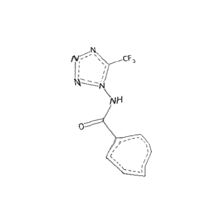 O=C(Nn1nnnc1C(F)(F)F)c1ccccc1